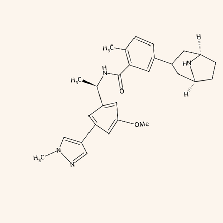 COc1cc(-c2cnn(C)c2)cc([C@@H](C)NC(=O)c2cc(C3C[C@H]4CC[C@@H](C3)N4)ccc2C)c1